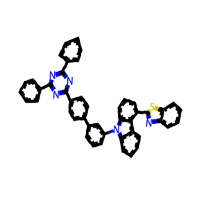 c1ccc(-c2nc(-c3ccccc3)nc(-c3ccc(-c4cccc(-n5c6ccccc6c6c(-c7nc8ccccc8s7)cccc65)c4)cc3)n2)cc1